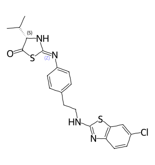 CC(C)[C@@H]1N/C(=N/c2ccc(CCNc3nc4ccc(Cl)cc4s3)cc2)SC1=O